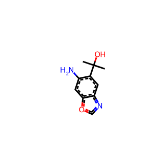 CC(C)(O)c1cc2ncoc2cc1N